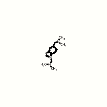 CN(C)Cc1ccc2c(c1)ncn2CN(C)C